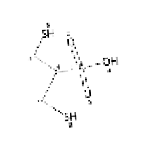 O=S(=O)(O)C(CS)CS